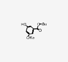 COc1cc(O)cc(C(=O)OC(C)(C)C)c1